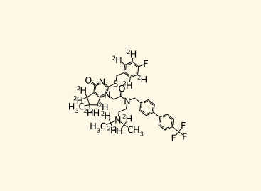 [2H]c1c([2H])c(CSc2nc(=O)c3c(n2CC(=O)N(CCN(C([2H])([2H])C)C([2H])([2H])C)Cc2ccc(-c4ccc(C(F)(F)F)cc4)cc2)C([2H])([2H])C([2H])(C)C3([2H])[2H])c([2H])c([2H])c1F